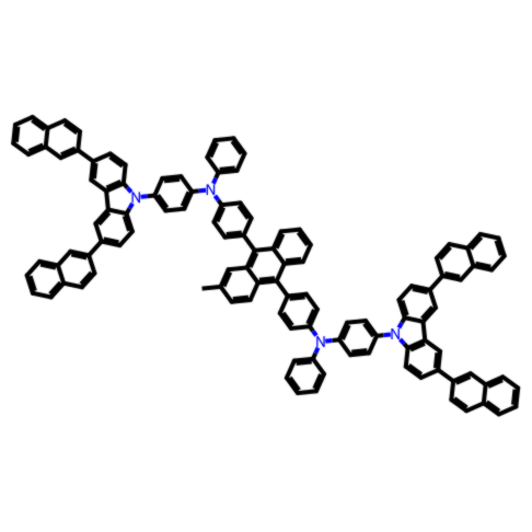 Cc1ccc2c(-c3ccc(N(c4ccccc4)c4ccc(-n5c6ccc(-c7ccc8ccccc8c7)cc6c6cc(-c7ccc8ccccc8c7)ccc65)cc4)cc3)c3ccccc3c(-c3ccc(N(c4ccccc4)c4ccc(-n5c6ccc(-c7ccc8ccccc8c7)cc6c6cc(-c7ccc8ccccc8c7)ccc65)cc4)cc3)c2c1